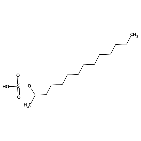 CCCCCCCCCCCCC(C)OS(=O)(=O)O